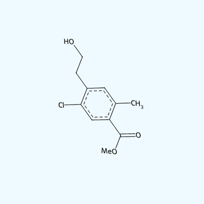 COC(=O)c1cc(Cl)c(CCO)cc1C